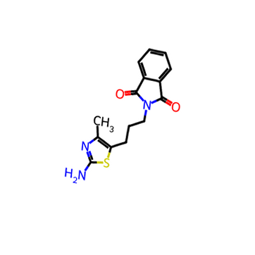 Cc1nc(N)sc1CCCN1C(=O)c2ccccc2C1=O